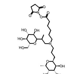 CC(CN(CCCCCC(=O)ON1C(=O)CCC1=O)CCC[C@@H]1O[C@@H](C)[C@@H](O)[C@@H](O)[C@@H]1O)C1O[C@H](CO)[C@@H](O)[C@H](O)[C@H]1O